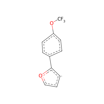 FC(F)(F)Oc1ccc(-c2[c]cco2)cc1